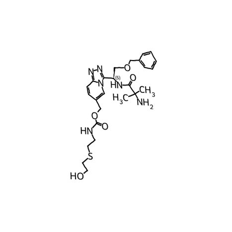 CC(C)(N)C(=O)N[C@H](COCc1ccccc1)c1nnc2ccc(COC(=O)NCCSCCO)cn12